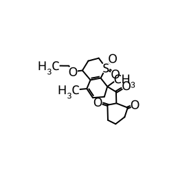 CCOC1CCS(=O)(=O)C2=C1C(C)=CCC2(C)C(=O)C1C(=O)CCCC1=O